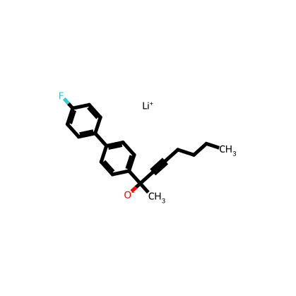 CCCCC#CC(C)([O-])c1ccc(-c2ccc(F)cc2)cc1.[Li+]